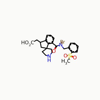 CS(=O)(=O)c1ccccc1CN(Br)C(=O)c1cccc2c1C1(CCNCC1)CC2CC(=O)O